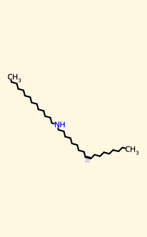 CCCCCCCC/C=C\CCCCCCCCNCCCCCCCCCCCCCC